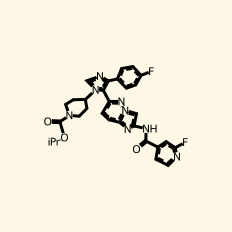 CC(C)OC(=O)N1CCC(n2cnc(-c3ccc(F)cc3)c2-c2ccc3nc(NC(=O)c4ccnc(F)c4)cn3n2)CC1